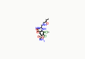 CCC(=O)CNCC1Nc2cc(Cl)c(S(N)(=O)=O)cc2S(=O)(=O)N1.Cl